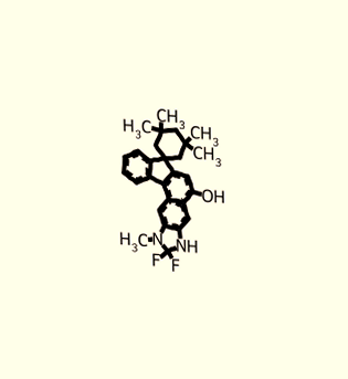 CN1c2cc3c4c(cc(O)c3cc2NC1(F)F)C1(CC(C)(C)CC(C)(C)C1)c1ccccc1-4